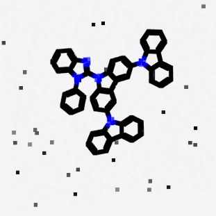 c1ccc(-n2c(-n3c4ccc(-n5c6ccccc6c6ccccc65)cc4c4cc(-n5c6ccccc6c6ccccc65)ccc43)nc3ccccc32)cc1